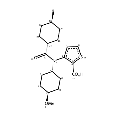 CO[C@H]1CC[C@H](N(c2ccsc2C(=O)O)C(=O)[C@H]2CC[C@H](C)CC2)CC1